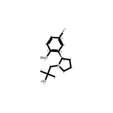 [CH2]C(C)(O)CN1CCC[C@@H]1c1cc(F)ccc1OC